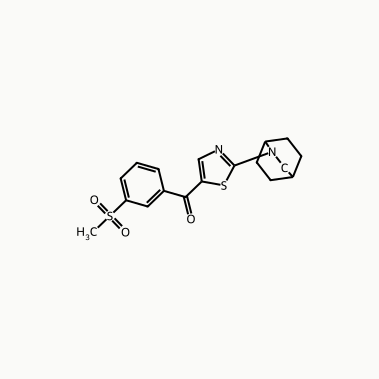 CS(=O)(=O)c1cccc(C(=O)c2cnc(N3CC4CCC3CC4)s2)c1